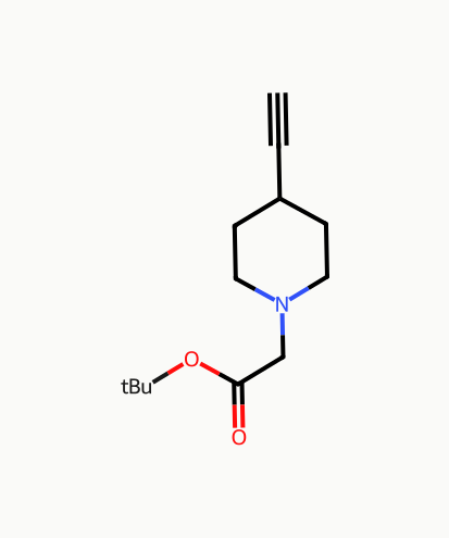 C#CC1CCN(CC(=O)OC(C)(C)C)CC1